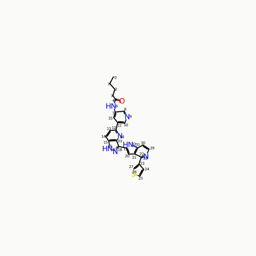 CCCCC(=O)Nc1cncc(-c2ccc3[nH]nc(-c4cc5c(-c6ccsc6)nccc5[nH]4)c3n2)c1